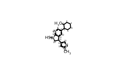 CC1CCCCC1c1cnc2c(c1)C(c1cnn(C)c1)CN2S